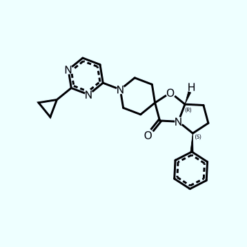 O=C1N2[C@@H](CC[C@H]2c2ccccc2)OC12CCN(c1ccnc(C3CC3)n1)CC2